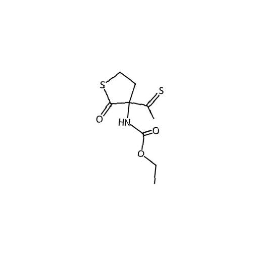 CCOC(=O)NC1(C(C)=S)CCSC1=O